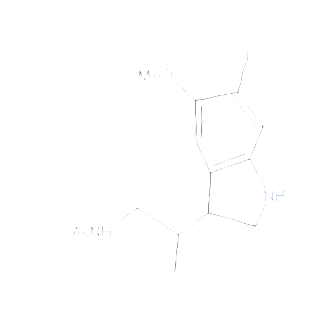 COc1cc2c(cc1I)NCC2C(C)CNC(C)=O